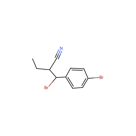 CCC(C#N)C(Br)c1ccc(Br)cc1